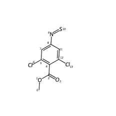 COC(=O)c1c(Cl)cc(N=S)cc1Cl